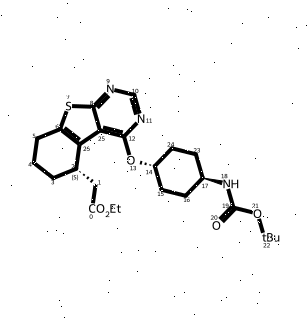 CCOC(=O)C[C@@H]1CCCc2sc3ncnc(O[C@H]4CC[C@H](NC(=O)OC(C)(C)C)CC4)c3c21